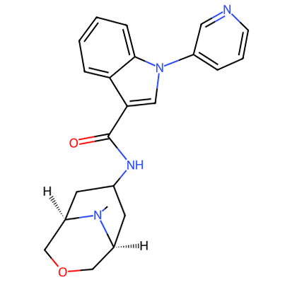 CN1[C@@H]2COC[C@H]1CC(NC(=O)c1cn(-c3cccnc3)c3ccccc13)C2